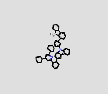 C1=CCCC(c2cc(C3C=CC=CC3)cc(-c3ccccc3-c3ccc4c(c3)c3ccccc3n4-c3cccc(-c4cccc5c4[SiH2]C4C=CC=CC54)c3)n2)=C1